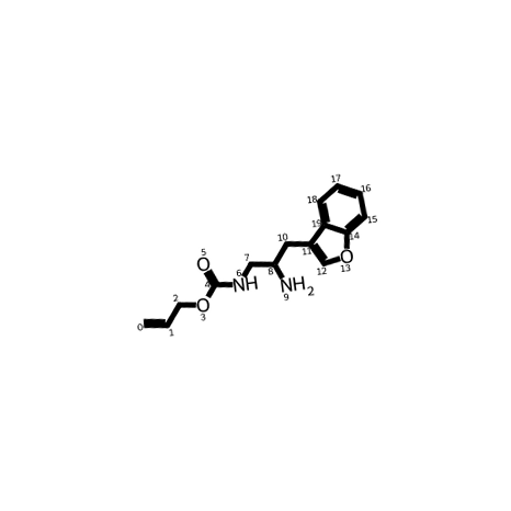 C=CCOC(=O)NCC(N)Cc1coc2ccccc12